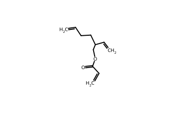 C=CCCC(C=C)COC(=O)C=C